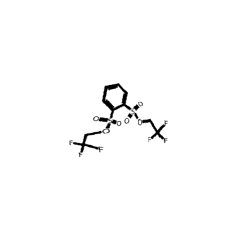 O=S(=O)(OCC(F)(F)F)c1ccccc1S(=O)(=O)OCC(F)(F)F